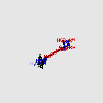 Cc1cc(F)cc(-c2cnc(N3CCN(C(=O)CCOCCOCCOCCOCCNC(=O)CCC(C(=O)O)N4CCN(CC(=O)O)CCN(CC(=O)O)CCN(CC(=O)O)CC4)CC3)c(-c3nc4cc(Cl)ccc4[nH]3)c2N2CCC(N)CC2)c1